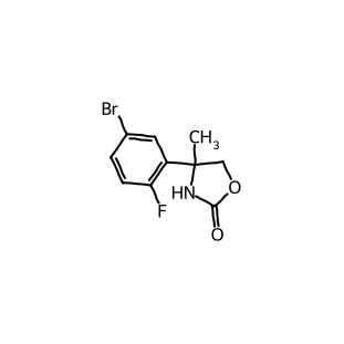 CC1(c2cc(Br)ccc2F)COC(=O)N1